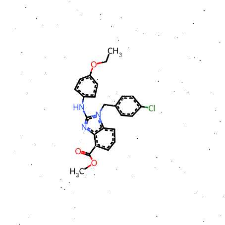 CCOc1ccc(Nc2nc3c(C(=O)OC)cccc3n2Cc2ccc(Cl)cc2)cc1